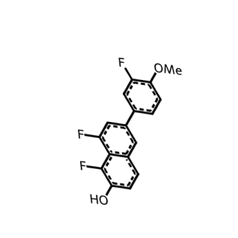 COc1ccc(-c2cc(F)c3c(F)c(O)ccc3c2)cc1F